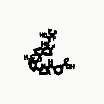 Cc1ccc2c(NCC(O)C(F)(F)F)c(F)ccc2c1Oc1ncccc1-c1ccnc(NC2CCCN(C(=O)O)C2)n1